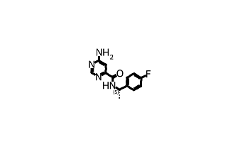 C[C@H](NC(=O)c1cc(N)ncn1)c1ccc(F)cc1